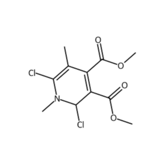 COC(=O)C1=C(C(=O)OC)C(Cl)N(C)C(Cl)=C1C